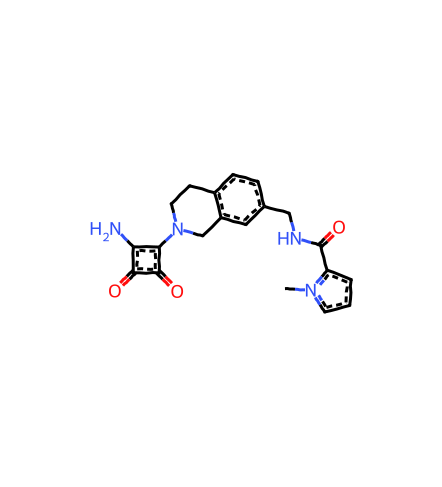 Cn1cccc1C(=O)NCc1ccc2c(c1)CN(c1c(N)c(=O)c1=O)CC2